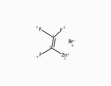 FC(F)=[C](F)[Zn+].[Br-]